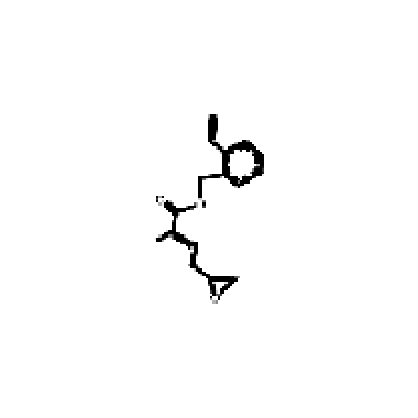 C=Cc1ccccc1COC(=O)C(C)=CCC1CO1